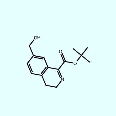 CC(C)(C)OC(=O)C1=NCCc2ccc(CO)cc21